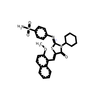 COc1ccc2ccccc2c1C=C1S/C(=N\c2ccc(S(N)(=O)=O)cc2)N(C2CCCCC2)C1=O